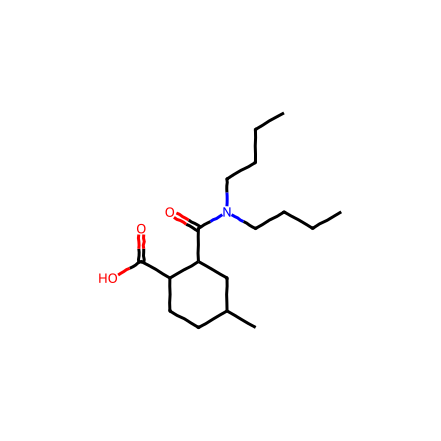 CCCCN(CCCC)C(=O)C1CC(C)CCC1C(=O)O